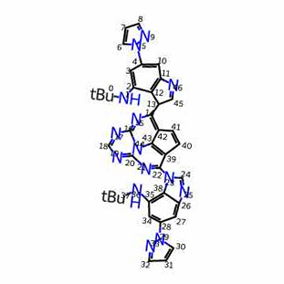 CC(C)(C)Nc1cc(-n2cccn2)cc2c1C(c1nc3ncnc4nc(-n5cnc6cc(-n7cccn7)cc(NC(C)(C)C)c65)c5ccc1c5n34)C=N2